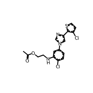 CC(=O)OCCNc1cc(-n2cnc(-c3sccc3Cl)c2)ccc1Cl